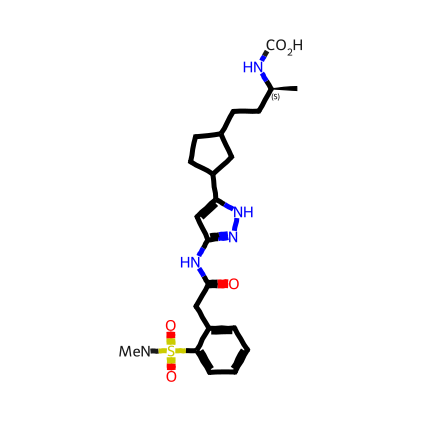 CNS(=O)(=O)c1ccccc1CC(=O)Nc1cc(C2CCC(CC[C@H](C)NC(=O)O)C2)[nH]n1